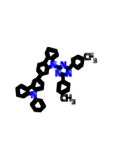 Cc1ccc(-c2nc(-c3ccc(C(F)(F)F)cc3)nc(-n3c4ccccc4c4ccc(-c5ccc6c(c5)c5ccccc5n6-c5ccccc5)cc43)n2)cc1